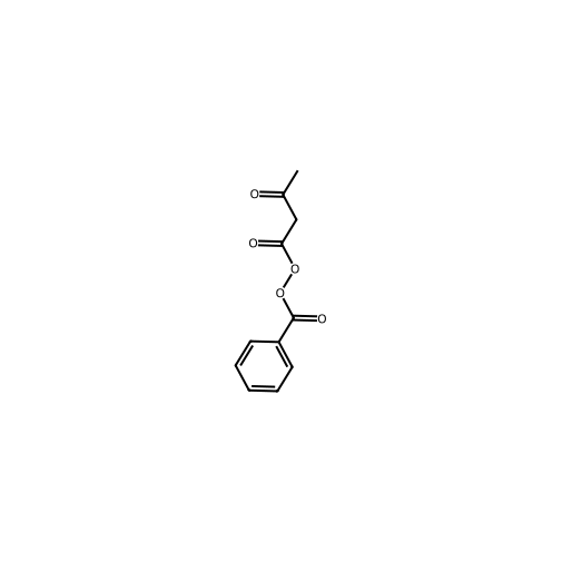 CC(=O)CC(=O)OOC(=O)c1ccccc1